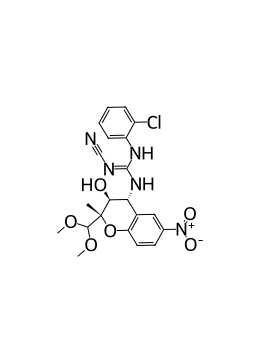 COC(OC)[C@@]1(C)Oc2ccc([N+](=O)[O-])cc2[C@@H](NC(=NC#N)Nc2ccccc2Cl)[C@@H]1O